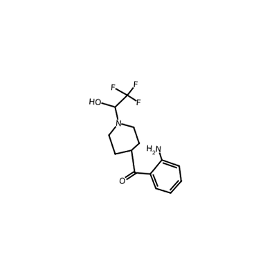 Nc1ccccc1C(=O)C1CCN(C(O)C(F)(F)F)CC1